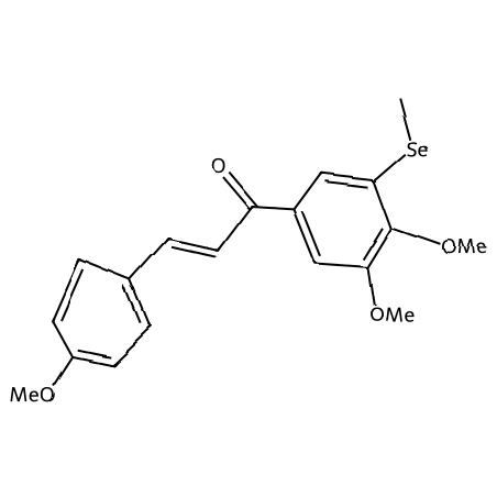 COc1ccc(/C=C/C(=O)c2cc(OC)c(OC)c([Se]C)c2)cc1